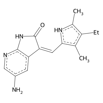 CCc1c(C)[nH]c(C=C2C(=O)Nc3ncc(N)cc32)c1C